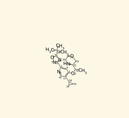 CC(Oc1cc(-c2noc(C(C)(C)C)n2)ncc1C1CC1)C1COCCN1